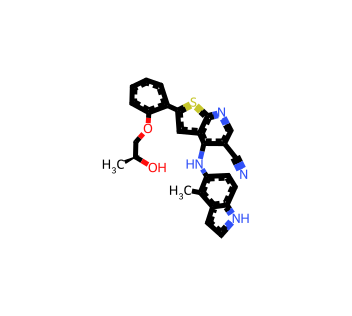 Cc1c(Nc2c(C#N)cnc3sc(-c4ccccc4OC[C@H](C)O)cc23)ccc2[nH]ccc12